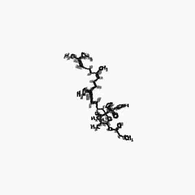 CCC(=O)OC(OC(CCCC=C(C)CCC=C(C)CCC=C(C)C)([PH2]=O)S(=O)(=O)O)C(C)C